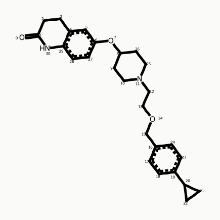 O=C1CCc2cc(OC3CCN(CCOCc4ccc(C5CC5)cc4)CC3)ccc2N1